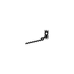 CCCCCCCCCCCCCCCc1ccc(COP(=O)(OCCC#N)OCCC#N)cc1